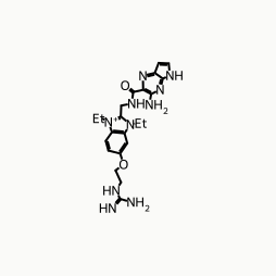 CCn1c(CNC(=O)c2nc3cc[nH]c3nc2N)[n+](CC)c2ccc(OCCNC(=N)N)cc21